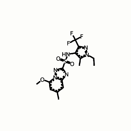 CCn1nc(C(F)(F)F)c(NS(=O)(=O)c2nc3cc(C)cc(OC)n3n2)c1C